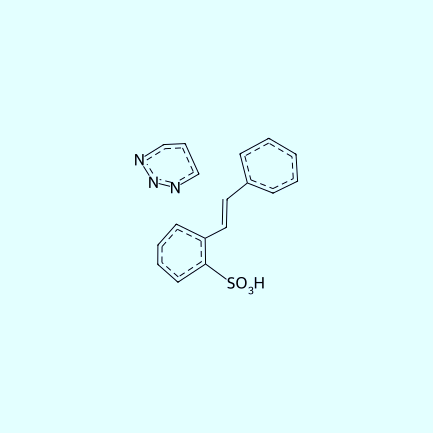 O=S(=O)(O)c1ccccc1C=Cc1ccccc1.c1cnnnc1